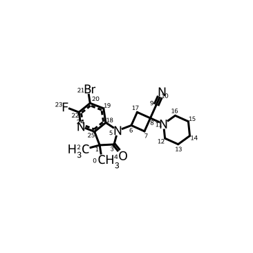 CC1(C)C(=O)N(C2CC(C#N)(N3CCCCC3)C2)c2cc(Br)c(F)nc21